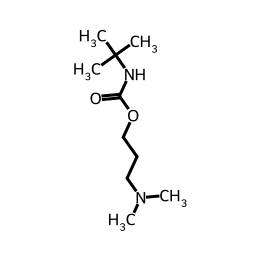 CN(C)CCCOC(=O)NC(C)(C)C